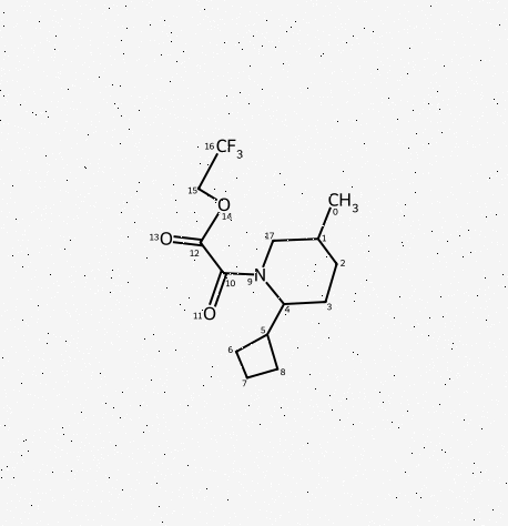 CC1CCC(C2CCC2)N(C(=O)C(=O)OCC(F)(F)F)C1